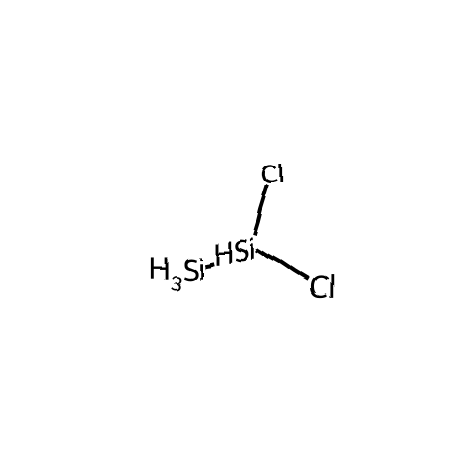 [SiH3][SiH](Cl)Cl